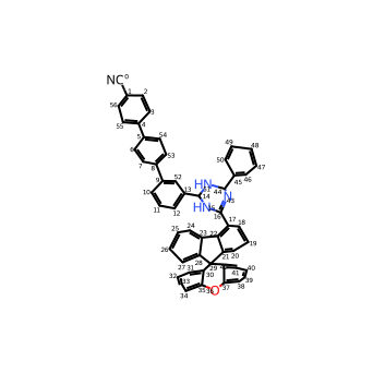 N#Cc1ccc(-c2ccc(-c3cccc(C4NC(c5cccc6c5-c5ccccc5C65c6ccccc6Oc6ccccc65)=NC(c5ccccc5)N4)c3)cc2)cc1